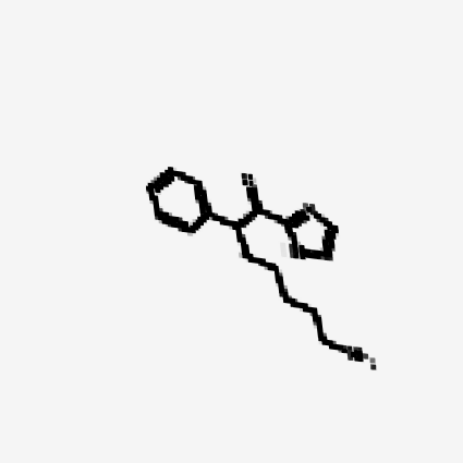 NCCCC[CH]C(C(=O)c1ncc[nH]1)c1ccccc1